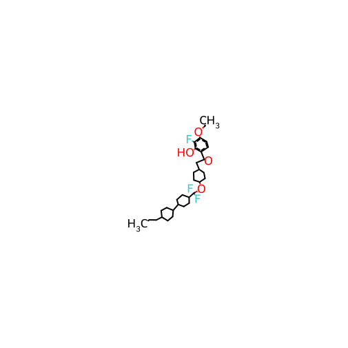 CCCC1CCC(C2CCC(C(F)(F)OC3CCC(CC(=O)c4ccc(OCC)c(F)c4O)CC3)CC2)CC1